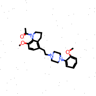 COc1ccccc1N1CCN(CCc2ccc(OC)c3c2CCCN3C(C)=O)CC1